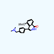 COc1cccc2c(=O)[nH]cc(-c3ccc(CN(C)C)cc3)c12